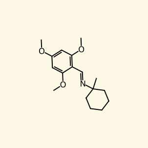 COc1cc(OC)c(C=NC2(C)CCCCC2)c(OC)c1